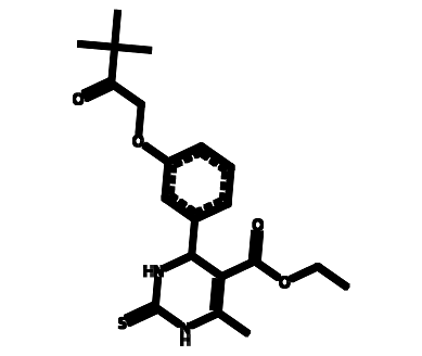 CCOC(=O)C1=C(C)NC(=S)NC1c1cccc(OCC(=O)C(C)(C)C)c1